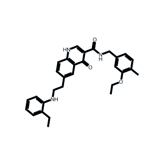 CCOc1cc(CNC(=O)c2c[nH]c3ccc(CCNc4ccccc4CC)cc3c2=O)ccc1C